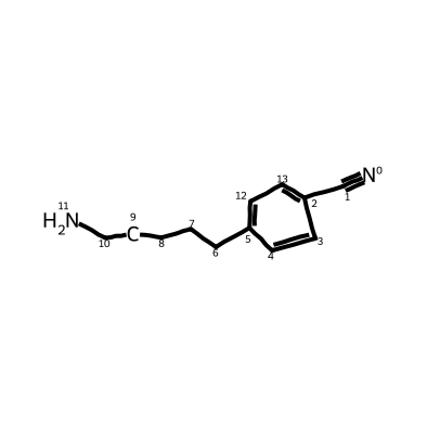 N#Cc1ccc(CCCCCN)cc1